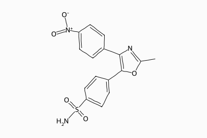 Cc1nc(-c2ccc([N+](=O)[O-])cc2)c(-c2ccc(S(N)(=O)=O)cc2)o1